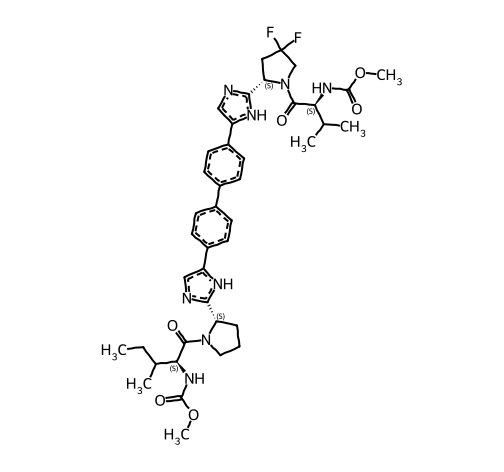 CCC(C)[C@H](NC(=O)OC)C(=O)N1CCC[C@H]1c1ncc(-c2ccc(-c3ccc(-c4cnc([C@@H]5CC(F)(F)CN5C(=O)[C@@H](NC(=O)OC)C(C)C)[nH]4)cc3)cc2)[nH]1